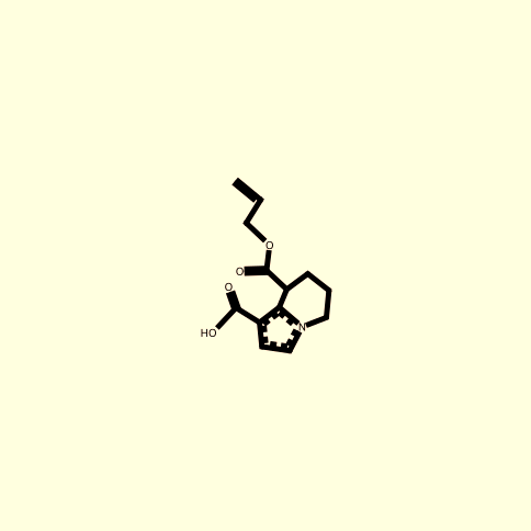 C=CCOC(=O)C1CCCn2ccc(C(=O)O)c21